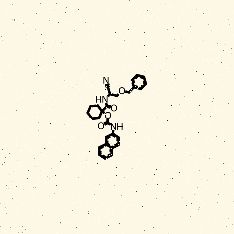 N#CC(COCc1ccccc1)NC(=O)C1(OC(=O)Nc2ccc3ccccc3c2)CCCCC1